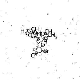 CC1(C)O[C@@H]2[C@H](O1)[C@@H](Oc1ccc(Cl)cc1Br)O[C@@H]2[C@H]1COC(C)(C)O1